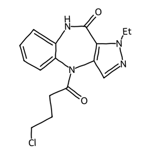 CCn1ncc2c1C(=O)Nc1ccccc1N2C(=O)CCCCl